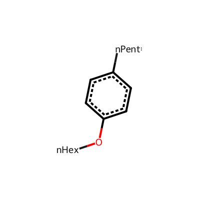 CCCC[C]c1ccc(OCCCCCC)cc1